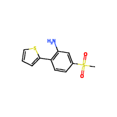 CS(=O)(=O)c1ccc(-c2cccs2)c(N)c1